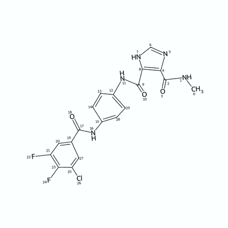 CNC(=O)c1nc[nH]c1C(=O)Nc1ccc(NC(=O)c2cc(F)c(F)c(Cl)c2)cc1